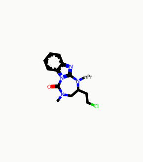 CCCN1c2nc3ccccc3n2C(=O)N(C)CC1CCCl